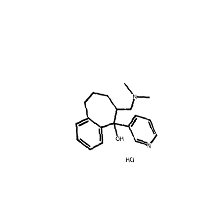 CN(C)CC1CCCc2ccccc2C1(O)c1cccnc1.Cl